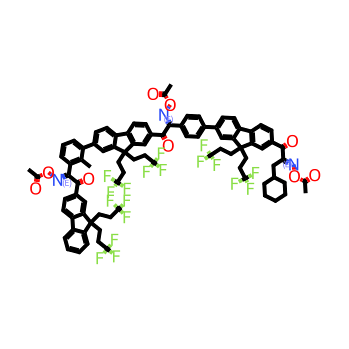 CC(=O)O/N=C(\CC1CCCCC1)C(=O)c1ccc2c(c1)C(CCC(F)(F)F)(CCC(F)(F)F)c1cc(-c3ccc(/C(=N\OC(C)=O)C(=O)c4ccc5c(c4)C(CCC(F)(F)F)(CCC(F)(F)F)c4cc(-c6cccc(/C(=N\OC(C)=O)C(=O)c7ccc8c(c7)C(CCC(F)(F)F)(CCC(F)(F)F)c7ccccc7-8)c6C)ccc4-5)cc3)ccc1-2